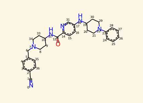 N#Cc1ccc(CN2CCC(NC(=O)c3ccc(NC4CCN(c5ccccc5)CC4)cn3)CC2)cc1